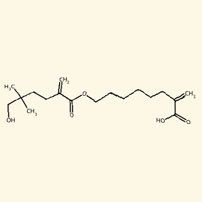 C=C(CCCCCCOC(=O)C(=C)CCC(C)(C)CO)C(=O)O